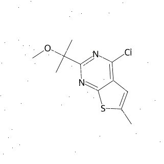 COC(C)(C)c1nc(Cl)c2cc(C)sc2n1